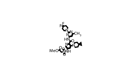 COC(=O)CS(=O)(=O)Nc1cnc(C(=O)Nc2cc(C)nc(N3CCC(F)(F)CC3)n2)c(N2CCC3(CC2)CC3)c1